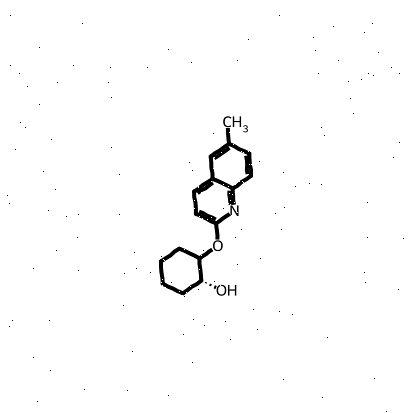 Cc1ccc2nc(OC3CCCC[C@H]3O)ccc2c1